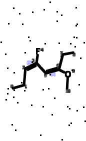 CC/C=C(F)\C=C(/CC)OC